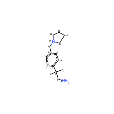 CC(C)(CN)c1ccc(CN2CCCC2)cc1